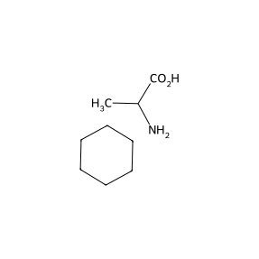 C1CCCCC1.CC(N)C(=O)O